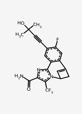 CC(C)(O)C#Cc1cc2c(cc1F)C1=CC(C1)n1c-2nc(C(N)=O)c1C(F)(F)F